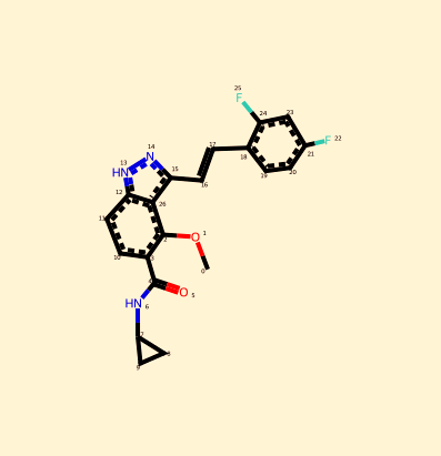 COc1c(C(=O)NC2CC2)ccc2[nH]nc(C=Cc3ccc(F)cc3F)c12